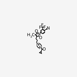 CC1=C(CCCN2CCN(C(=O)C3CC3)CC2)C(=O)N(c2ccc(C#N)c(C(F)(F)F)c2)C1=O